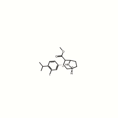 COC(=O)C1C2CC[C@H](C[C@@H]1c1ccc(C(C)C)c(I)c1)N2